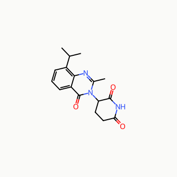 Cc1nc2c(C(C)C)cccc2c(=O)n1C1CCC(=O)NC1=O